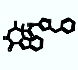 CC1CNC(=O)c2cc3ccccc3n2C1(C)C(=O)Nc1cnn(Cc2ccccc2)c1